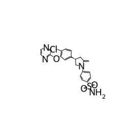 C=C1C[C@H](c2ccc(Cl)c(Oc3cnccn3)c2)CN1c1ccc(S(N)(=O)=O)cc1